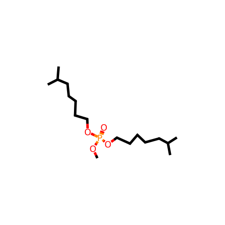 COP(=O)(OCCCCCC(C)C)OCCCCCC(C)C